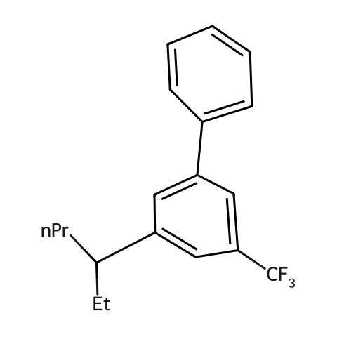 CCCC(CC)c1cc(-c2ccccc2)cc(C(F)(F)F)c1